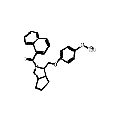 CC(C)(C)Oc1ccc(OCC2C3CCCC3CN2C(=O)c2cccc3ccccc23)cc1